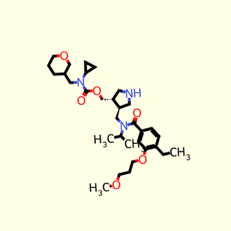 CCc1ccc(C(=O)N(C[C@@H]2CNC[C@H]2COC(=O)N(CC2CCCOC2)C2CC2)C(C)C)cc1OCCCOC